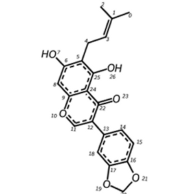 CC(C)=CCc1c(O)cc2occ(-c3ccc4c(c3)OCO4)c(=O)c2c1O